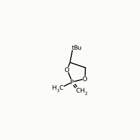 C=P1(C)OCC(C(C)(C)C)O1